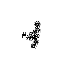 CC(C)C(=O)N1C(C)CN(Cc2ccccc2CN2CCOCC2)CC1C(=O)NCc1ccc(-c2ccco2)cc1